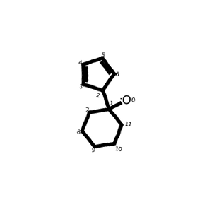 [O]C1(C2C=CC=C2)CCCCC1